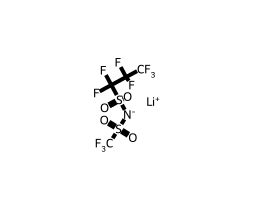 O=S(=O)([N-]S(=O)(=O)C(F)(F)C(F)(F)C(F)(F)F)C(F)(F)F.[Li+]